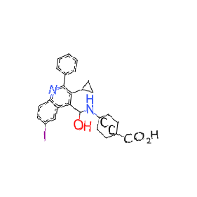 O=C(O)C12CCC(NC(O)c3c(C4CC4)c(-c4ccccc4)nc4ccc(I)cc34)(CC1)CC2